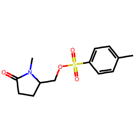 Cc1ccc(S(=O)(=O)OCC2CCC(=O)N2C)cc1